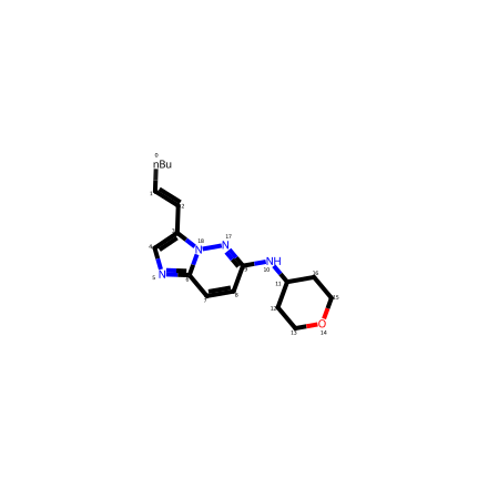 CCCCC=Cc1cnc2ccc(NC3CCOCC3)nn12